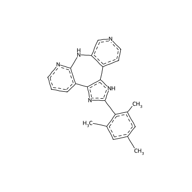 Cc1cc(C)c(-c2nc3c([nH]2)-c2ccncc2Nc2ncccc2-3)c(C)c1